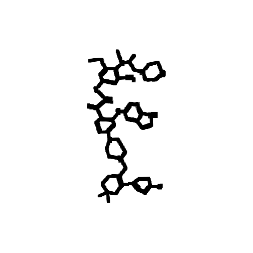 C=C(NSc1cc(N)c(N(C)[C@@H](C)CN2CCOCC2)c(CC)c1)c1ccc(N2CCN(CC3=C(c4ccc(Cl)cc4)CC(C)(C)CC3)CC2)cc1Oc1cnc2[nH]ccc2c1